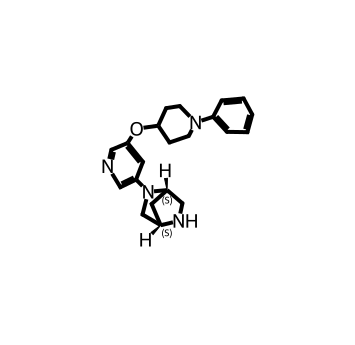 c1ccc(N2CCC(Oc3cncc(N4C[C@@H]5C[C@H]4CN5)c3)CC2)cc1